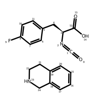 O=C=N[C@@H](Cc1ccc(F)cc1)C(=O)O.c1ccc2c(c1)CCNC2